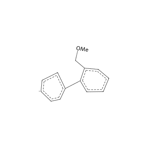 COCc1ccccc1-c1cc[c]cc1